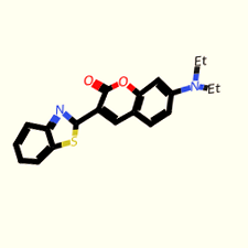 CCN(CC)c1ccc2cc(C3N=C4C=CCC=C4S3)c(=O)oc2c1